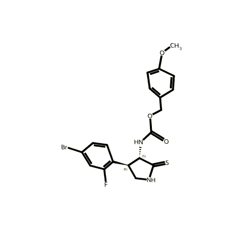 COc1ccc(COC(=O)N[C@@H]2C(=S)NC[C@H]2c2ccc(Br)cc2F)cc1